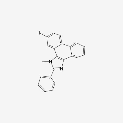 Cn1c(-c2ccccc2)nc2c3ccccc3c3ccc(I)cc3c21